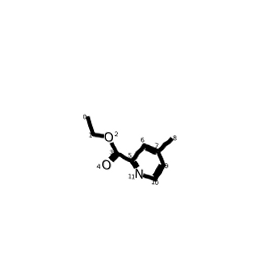 CCOC(=O)c1[c]c(C)ccn1